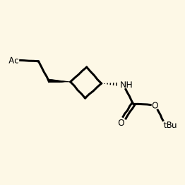 CC(=O)CC[C@H]1C[C@H](NC(=O)OC(C)(C)C)C1